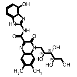 Cc1cc2nc(C(=O)Nc3nc4c(O)cccc4[nH]3)c(=O)n(C[C@H](O)[C@H](O)[C@H](O)CO)c2cc1C